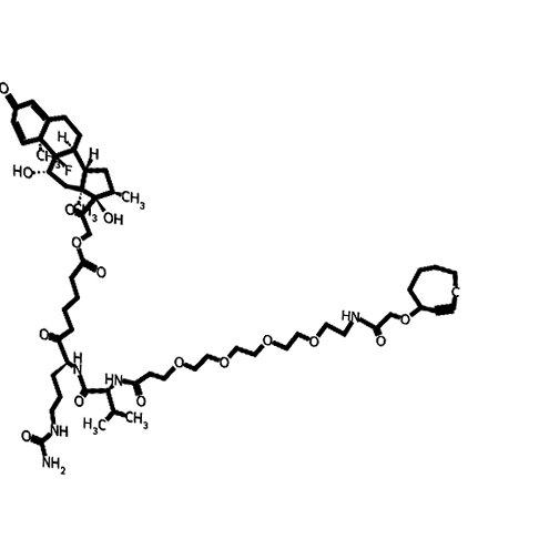 CC(C)[C@H](NC(=O)CCOCCOCCOCCOCCNC(=O)COC1C#CCCCCC1)C(=O)N[C@@H](CCCNC(N)=O)C(=O)CCCCC(=O)OCC(=O)[C@@]1(O)[C@H](C)C[C@H]2[C@@H]3CCC4=CC(=O)C=C[C@]4(C)[C@@]3(F)[C@@H](O)C[C@@]21C